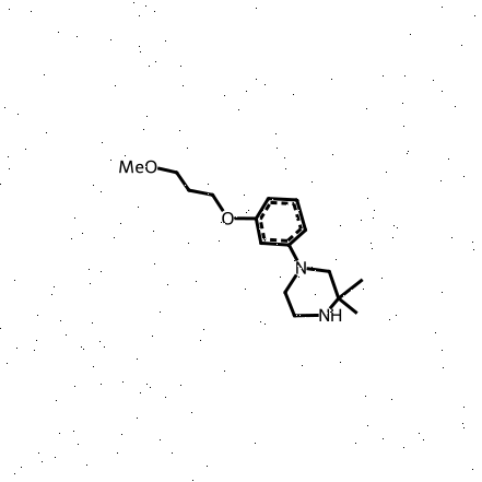 COCCCOc1cccc(N2CCNC(C)(C)C2)c1